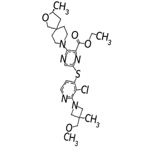 CCOC(=O)c1nc(Sc2ccnc(N3CC(C)(COC)C3)c2Cl)cnc1N1CCC2(CC1)CO[C@@H](C)C2